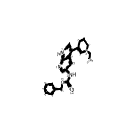 C[C](C)CN1C=C(c2c[nH]c3ncc(NC(=O)OCc4ccccc4)cc23)CCC1